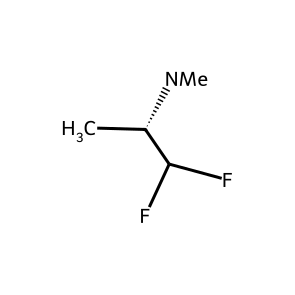 CN[C@@H](C)C(F)F